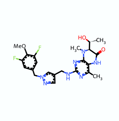 COc1c(F)cc(Cn2cc(CNc3nc(C)c4c(n3)N(C)[C@@H]([C@@H](C)O)C(=O)N4)cn2)cc1F